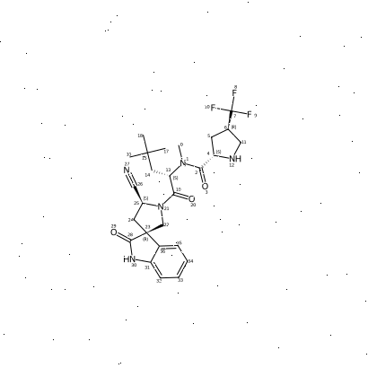 CN(C(=O)[C@@H]1C[C@@H](C(F)(F)F)CN1)[C@@H](CC(C)(C)C)C(=O)N1C[C@]2(C[C@H]1C#N)C(=O)Nc1ccccc12